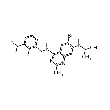 Cc1nc(NCc2cccc(C(F)F)c2F)c2cc(Br)c(NC(C)C)cc2n1